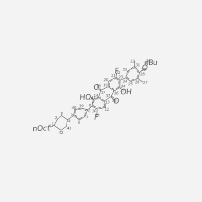 CCCCCCCCC1CCC(c2ccc(-c3c(F)cc4c(c3O)C(=O)c3cc(F)c(-c5cc(C)c(OCCCC)c(C)c5)c(O)c3C4=O)cc2)CC1